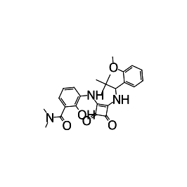 COc1ccccc1C(Nc1c(Nc2cccc(C(=O)N(C)C)c2O)c(=O)c1=O)C(C)(C)C